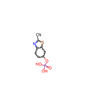 N#Cc1nc2ccc(OP(=O)(O)O)cc2s1